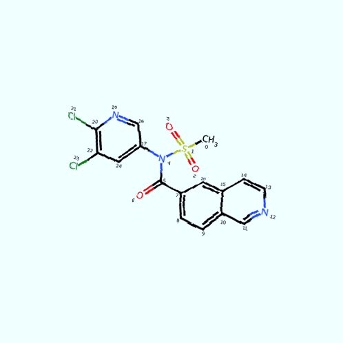 CS(=O)(=O)N(C(=O)c1ccc2cnccc2c1)c1cnc(Cl)c(Cl)c1